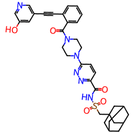 O=C(NS(=O)(=O)CC12CC3CC(CC(C3)C1)C2)c1ccc(N2CCN(C(=O)c3ccccc3C#Cc3cncc(O)c3)CC2)nn1